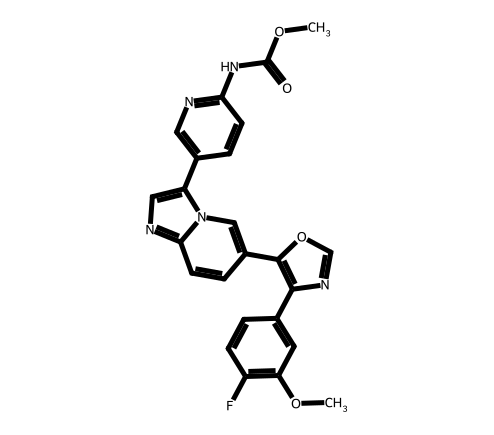 COC(=O)Nc1ccc(-c2cnc3ccc(-c4ocnc4-c4ccc(F)c(OC)c4)cn23)cn1